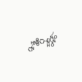 CCCn1c(=O)n(C)c(=O)c2[nH]c(-c3ccc(S(=O)(=O)NCCc4ccccn4)cc3)cc21